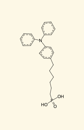 O=P(O)(O)CCCCCCc1ccc(N(c2ccccc2)c2ccccc2)cc1